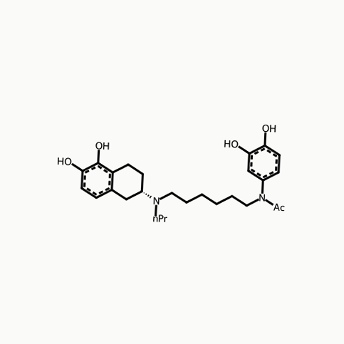 CCCN(CCCCCCN(C(C)=O)c1ccc(O)c(O)c1)[C@H]1CCc2c(ccc(O)c2O)C1